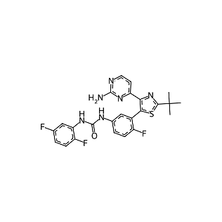 CC(C)(C)c1nc(-c2ccnc(N)n2)c(-c2cc(NC(=O)Nc3cc(F)ccc3F)ccc2F)s1